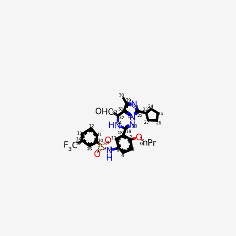 CCCOc1ccc(NS(=O)(=O)c2cccc(C(F)(F)F)c2)cc1C1=Nn2c(C3CCCC3)nc(C)c2C(C=O)N1